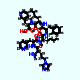 CCCC[C@H](NC(=O)[C@H](Cc1cccnc1)NC(=O)[C@H](CCCn1ccnc1)NC)C(=O)N[C@@H](Cc1ccccc1F)C(=O)N[C@@H](CCCC)C(=O)N(C)[C@@H](Cc1cccnc1)C(=O)O